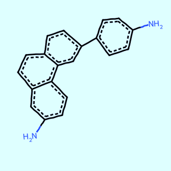 Nc1ccc(-c2ccc3ccc4cc(N)ccc4c3c2)cc1